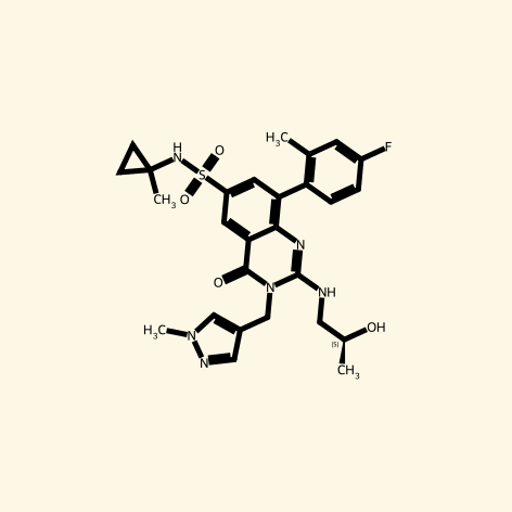 Cc1cc(F)ccc1-c1cc(S(=O)(=O)NC2(C)CC2)cc2c(=O)n(Cc3cnn(C)c3)c(NC[C@H](C)O)nc12